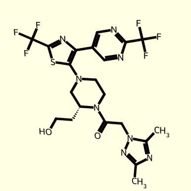 Cc1nc(C)n(CC(=O)N2CCN(c3sc(C(F)(F)F)nc3-c3cnc(C(F)(F)F)nc3)C[C@H]2CCO)n1